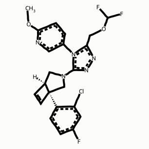 COc1ccc(-n2c(COC(F)F)nnc2N2C[C@@H]3C=C[C@]3(c3ccc(F)cc3Cl)C2)cn1